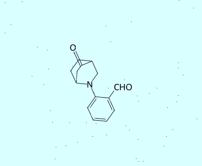 O=Cc1ccccc1N1CC2CCC1CC2=O